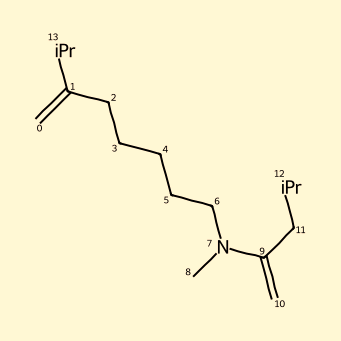 C=C(CCCCCN(C)C(=C)CC(C)C)C(C)C